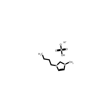 CCCCN1C=CN(C)C1.O=S(=O)([O-])O.[H+]